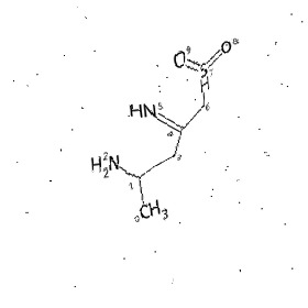 CC(N)CC(=N)C[SH](=O)=O